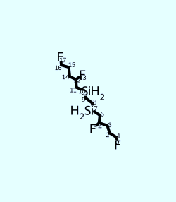 FCCCC(F)C[SiH2]CC[SiH2]CC(F)CCCF